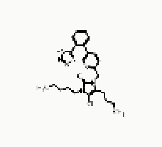 CCCCCn1c(Cl)c(CCCC)n(Cc2ccc(-c3ccccc3-c3nnn[nH]3)cn2)c1=O